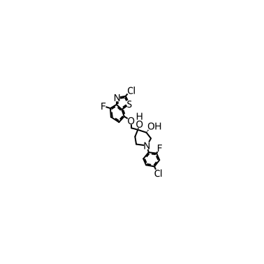 O[C@@H]1CN(c2ccc(Cl)cc2F)CC[C@@]1(O)COc1ccc(F)c2nc(Cl)sc12